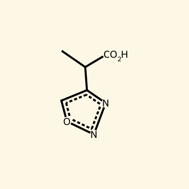 CC(C(=O)O)c1conn1